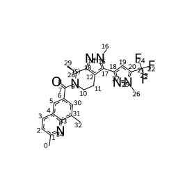 Cc1ccc2cc(C(=O)N3CCc4c(nn(C)c4-c4cc(C(F)(F)F)n(C)n4)[C@@H]3C)cc(C)c2n1